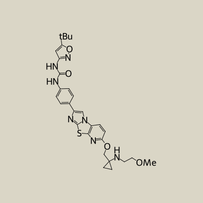 COCCNC1(COc2ccc3c(n2)sc2nc(-c4ccc(NC(=O)Nc5cc(C(C)(C)C)on5)cc4)cn23)CC1